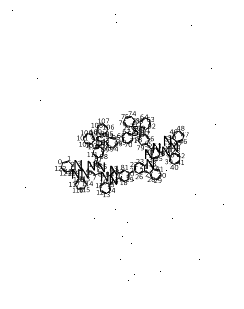 C1=CC2N=C3N(c4cc(-n5c6ccccc6n6c7ccc(-c8ccc9c(c8)c8ccccc8n9-c8cc(-n9c%10ccccc%10n%10c%11ccccc%11nc9%10)nc(-c9ccc([Si](c%10ccccc%10)(c%10ccccc%10)c%10ccccc%10)cc9)n8)cc7nc56)nc(-c5ccc([Si](c6ccccc6)(c6ccccc6)c6ccccc6)cc5)n4)c4ccccc4N3C2C=C1